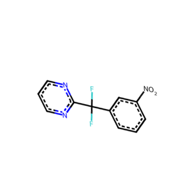 O=[N+]([O-])c1cccc(C(F)(F)c2ncccn2)c1